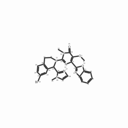 COc1c(-c2nc3ccccc3o2)nc(N2CCc3ccc(Br)cc3C2c2nccn2C)n(C)c1=O